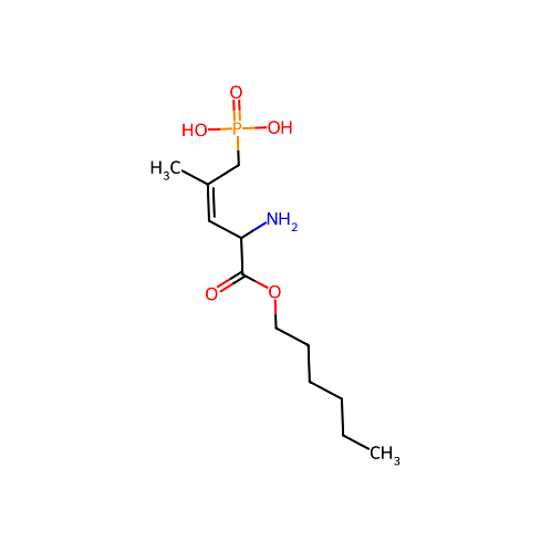 CCCCCCOC(=O)C(N)C=C(C)CP(=O)(O)O